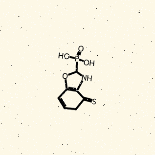 O=P(O)(O)C1NC2=C(C=CCC2=S)O1